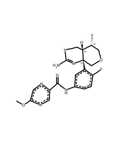 COc1cnc(C(=O)Nc2ccc(F)c([C@]34COC[C@@H](F)[C@H]3CSC(N)=N4)c2)cn1